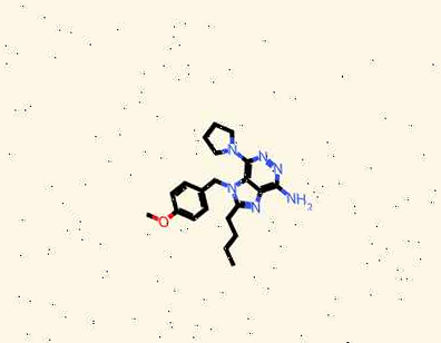 CCCCc1nc2c(N)nnc(N3CCCC3)c2n1Cc1ccc(OC)cc1